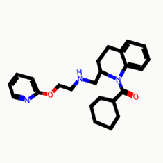 O=C(C1CCCCC1)N1c2ccccc2CCC1CNCCOc1ccccn1